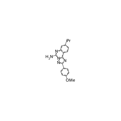 COc1ccc(-c2nc3c4ccc(C(C)C)cc4nc(N)n3n2)cc1